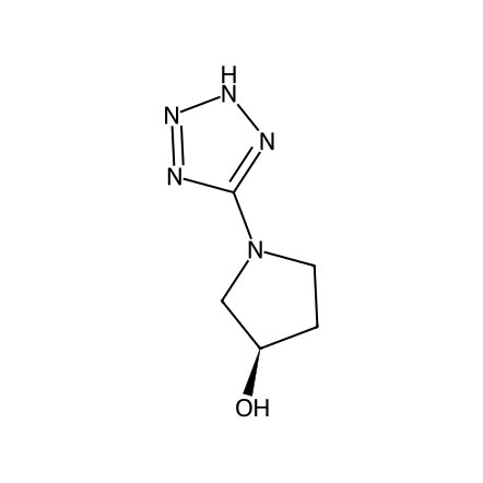 O[C@@H]1CCN(c2nn[nH]n2)C1